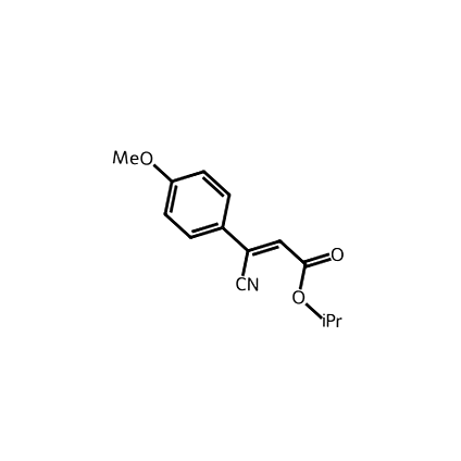 COc1ccc(C(C#N)=CC(=O)OC(C)C)cc1